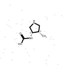 C[C@H]1CNC[C@H]1NC(=O)O